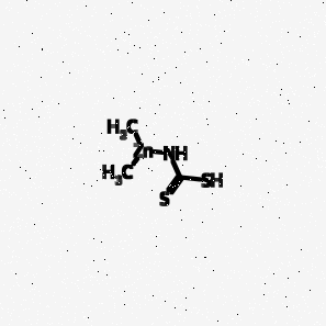 [CH3][Zn]([CH3])[NH]C(=S)S